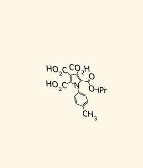 Cc1ccc(-n2c(C(=O)O)c(C(=O)O)c(C(=O)O)c2C(=O)OC(C)C)cc1